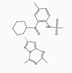 Cc1ccc(NS(C)(=O)=O)c(C(=O)C2CCCC[C@H]2c2cc3nc(C)nc(C)n3n2)c1